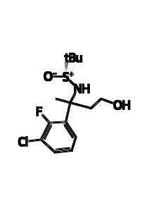 CC(CCO)(N[S@+]([O-])C(C)(C)C)c1cccc(Cl)c1F